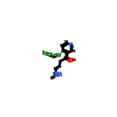 CNCCCC(=O)c1cccnc1.Cl.Cl